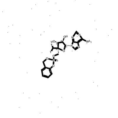 Nc1ncnc2c1ncn2[C@@H]1O[C@@](COP2(=S)OCc3ccccc3O2)(C(F)F)[C@H](O)[C@H]1O